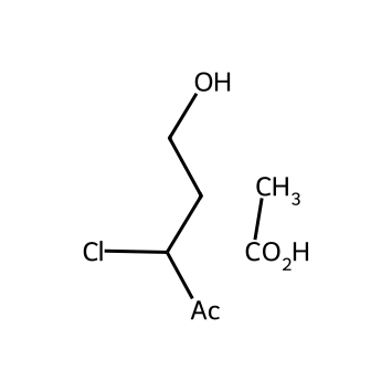 CC(=O)C(Cl)CCO.CC(=O)O